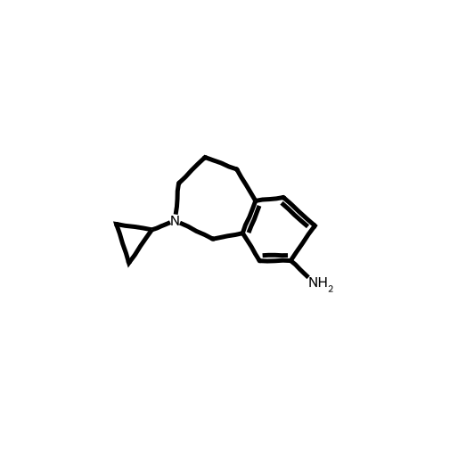 Nc1ccc2c(c1)CN(C1CC1)CCC2